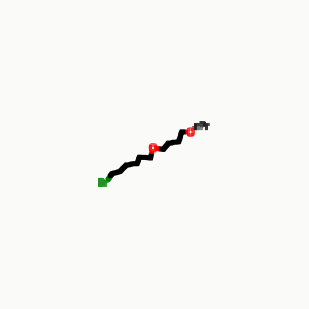 CCCOCCCCOCCCCCCBr